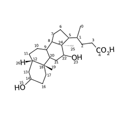 CC(CCC(=O)O)C1CCC2C3CC[C@H]4CC(O)CC[C@@]4(C)C3CC(O)[C@]12C